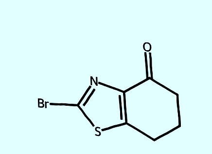 O=C1CCCc2sc(Br)nc21